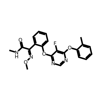 CNC(=O)C(=NOC)c1ccccc1Oc1ncnc(Oc2ccccc2C)c1F